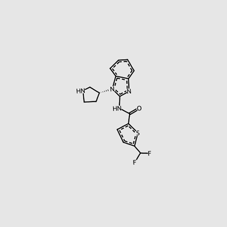 O=C(Nc1nc2ccccc2n1[C@@H]1CCNC1)c1ccc(C(F)F)s1